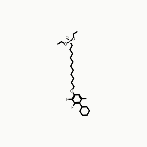 CCOP(=O)(CCCCCCCCCCCOc1cc(C)c(C2CCCCC2)c(F)c1F)OCC